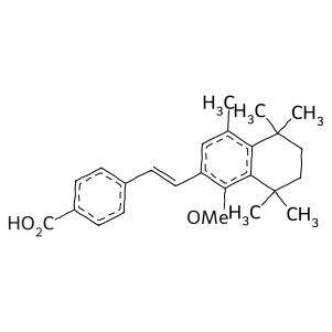 COc1c(C=Cc2ccc(C(=O)O)cc2)cc(C)c2c1C(C)(C)CCC2(C)C